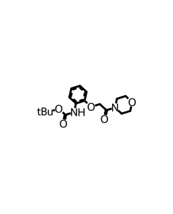 CC(C)(C)OC(=O)Nc1ccccc1OCC(=O)N1CCOCC1